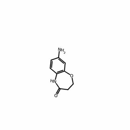 Nc1ccc2c(c1)OCCC(=O)N2